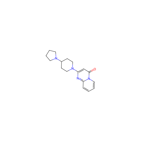 O=c1cc(N2CCC(N3CCCC3)CC2)nc2ccccn12